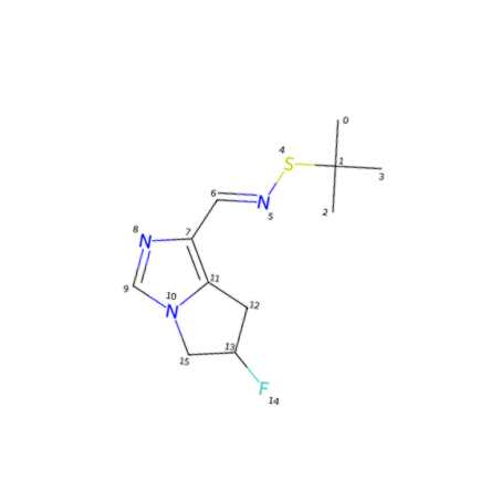 CC(C)(C)SN=Cc1ncn2c1CC(F)C2